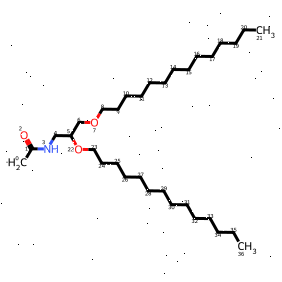 [CH2]C(=O)NCC(COCCCCCCCCCCCCCC)OCCCCCCCCCCCCCC